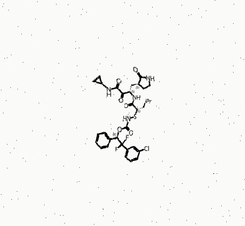 CC(C)C[C@H](SNC(=O)O[C@H](c1ccccc1)C(F)(F)c1cccc(Cl)c1)C(=O)N[C@@H](C[C@@H]1CCNC1=O)C(=O)C(=O)NC1CC1